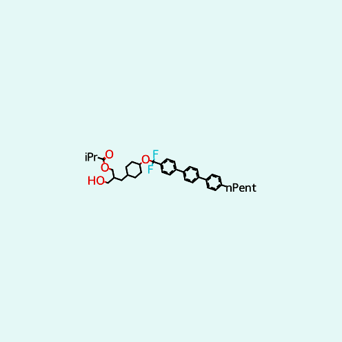 CCCCCc1ccc(-c2ccc(-c3ccc(C(F)(F)OC4CCC(CC(CO)COC(=O)C(C)C)CC4)cc3)cc2)cc1